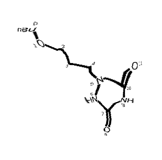 CCCCOCCCn1[nH]c(=O)[nH]c1=O